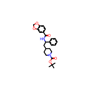 CC(C)(C)OC(=O)N1CCC(CC(NC(=O)c2ccc3c(c2)OCO3)c2ccccc2)CC1